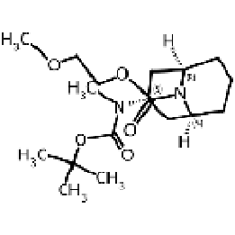 COCCOC(=O)N1[C@@H]2CCC[C@H]1C[C@H](N(C)C(=O)OC(C)(C)C)C2